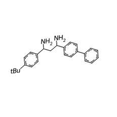 CC(C)(C)c1ccc(C(N)CC(N)c2ccc(-c3ccccc3)cc2)cc1